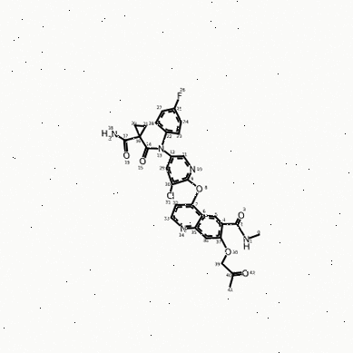 CNC(=O)c1cc2c(Oc3ncc(N(C(=O)C4(C(N)=O)CC4)c4ccc(F)cc4)cc3Cl)ccnc2cc1OCC(C)=O